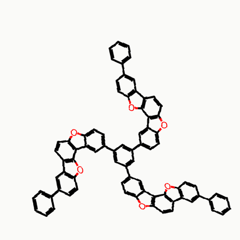 c1ccc(-c2ccc3oc4c(ccc5oc6ccc(-c7cc(-c8ccc9oc%10ccc%11c%12cc(-c%13ccccc%13)ccc%12oc%11c%10c9c8)cc(-c8ccc9oc%10ccc%11c%12cc(-c%13ccccc%13)ccc%12oc%11c%10c9c8)c7)cc6c54)c3c2)cc1